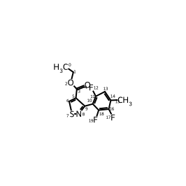 CCOC(=O)c1csnc1-c1c(F)cc(C)c(F)c1F